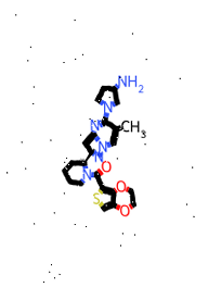 Cc1cn2nc([C@@H]3CCCCN3C(=O)c3scc4c3OCCO4)cc2nc1N1CCC(N)C1